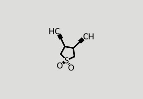 C#CC1CS(=O)(=O)CC1C#C